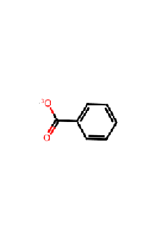 O=C([3O])c1ccccc1